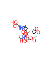 C=CC(=O)OCC(C)(C)C(O)C(=O)N1CCCC[C@H]1C(=O)O[C@H](CCc1ccc(OC)c(OC)c1)c1cccc(NNCCC(=O)O)c1